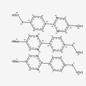 CCCCCCCCCCc1cnc(-c2ccc(SCCCCCCCC)cc2)nc1.CCCCCCCCCc1cnc(-c2ccc(SCCCCCCCC)cc2)nc1.CCCCCCCCSc1ccc(-c2ncc(CCCCCCCC)cn2)cc1